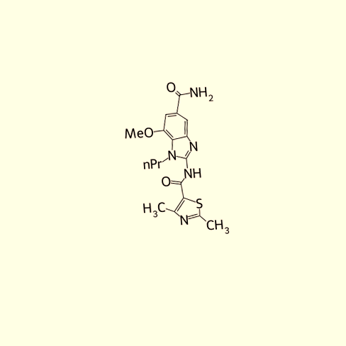 CCCn1c(NC(=O)c2sc(C)nc2C)nc2cc(C(N)=O)cc(OC)c21